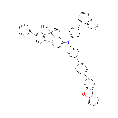 CC1(C)c2cc(-c3ccccc3)ccc2-c2ccc(N(c3ccc(-c4ccc(-c5ccc6c(c5)oc5ccccc56)cc4)cc3)c3ccc(-c4cccc5ccccc45)cc3)cc21